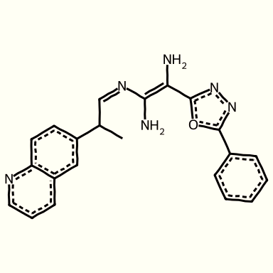 CC(/C=N\C(N)=C(/N)c1nnc(-c2ccccc2)o1)c1ccc2ncccc2c1